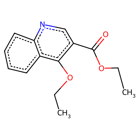 CCOC(=O)c1cnc2ccccc2c1OCC